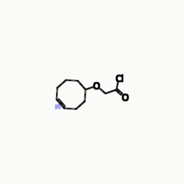 O=C(Cl)COC1CC/C=C\CCC1